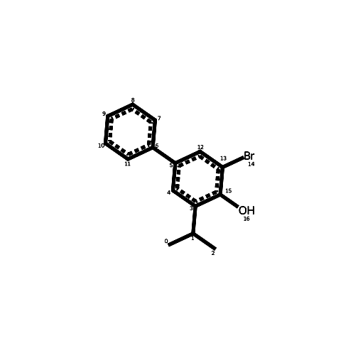 CC(C)c1cc(-c2ccccc2)cc(Br)c1O